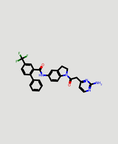 Nc1nccc(CC(=O)N2CCc3cc(NC(=O)c4cc(C(F)(F)F)ccc4-c4ccccc4)ccc32)n1